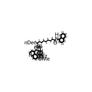 CCCCCCCCCCC(CCCCCCCC(=O)Nc1cccc2ccccc12)S(=O)O[C@H](c1ccnc2ccc(OC)cc12)[C@@H]1C[C@@H]2CCN1C[C@@H]2CC